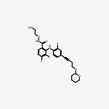 O=C(NOCCO)c1ccc(F)c(F)c1Nc1ccc(C#CCCOC2CCCCO2)cc1F